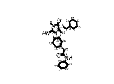 CN1C(=N)N[C@](CCC2CCCCC2)(C[C@H]2CCC[C@H](CC(=O)Nc3ccccc3)C2)C1=O